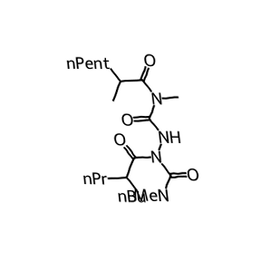 CCCCCC(C)C(=O)N(C)C(=O)NN(C(=O)NC)C(=O)C(CCC)CCCC